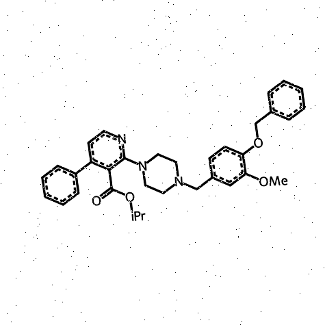 COc1cc(CN2CCN(c3nccc(-c4ccccc4)c3C(=O)OC(C)C)CC2)ccc1OCc1ccccc1